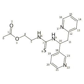 CC(=O)OCCNC(=S)NC(Cc1ccccn1)c1cccnc1